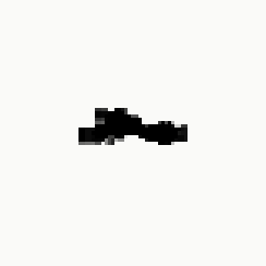 Cc1cc(OCCCC2CCN(c3ncc(Cl)cn3)CC2)nc(C)c1C(=O)NCCCO